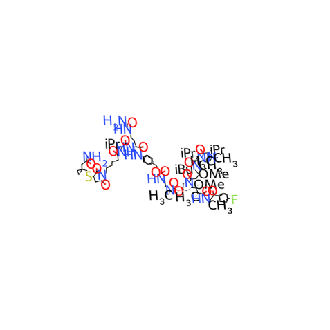 CC[C@H](C)[C@@H]([C@@H](CC(=O)N1C[C@@H](OC(=O)N(C)CCNC(=O)OCc2ccc(NC(=O)[C@H](CCCNC(N)=O)NC(=O)[C@@H](NC(=O)CCCCCN3C(=O)CC(SCC4(CC(N)=O)CC4)C3=O)C(C)C)cc2)C[C@H]1[C@H](OC)[C@@H](C)C(=O)N[C@@H](C)C(=O)c1ccc(F)cc1)OC)N(C)C(=O)[C@@H](NC(=O)[C@H](C(C)C)N(C)C)C(C)C